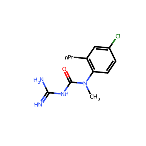 CCCc1cc(Cl)ccc1N(C)C(=O)NC(=N)N